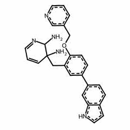 NC1N=CC=CC1(N)Cc1cc(-c2ccc3cc[nH]c3c2)ccc1OCc1cccnc1